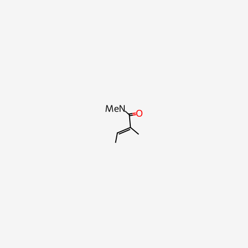 [CH2]NC(=O)C(C)=CC